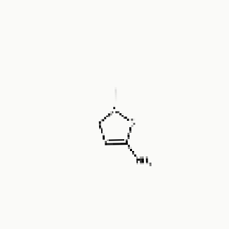 CN1CC=C(N)S1